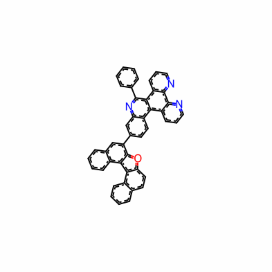 c1ccc(-c2nc3cc(-c4cc5ccccc5c5c4oc4ccc6ccccc6c45)ccc3c3c4cccnc4c4ncccc4c23)cc1